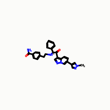 Cn1cc(-c2ccc3c(C(=O)[C@@H](NCCc4ccc(C(N)=O)cc4)c4ccccc4)cnn3c2)cn1